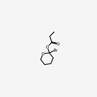 CCC(=O)OC1(Br)CCCCO1